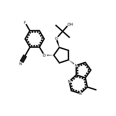 Cc1ncnc2c1ccn2[C@@H]1C[C@H](Oc2ccc(F)cc2C#N)[C@@H](OC(C)(C)O)C1